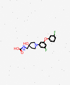 O=C(O)NCC1(O)CCN(c2cc(F)cc(Oc3cccc(F)c3)c2)CC1